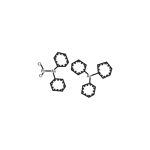 [Cl][Pt]([Cl])[As](c1ccccc1)c1ccccc1.c1ccc([As](c2ccccc2)c2ccccc2)cc1